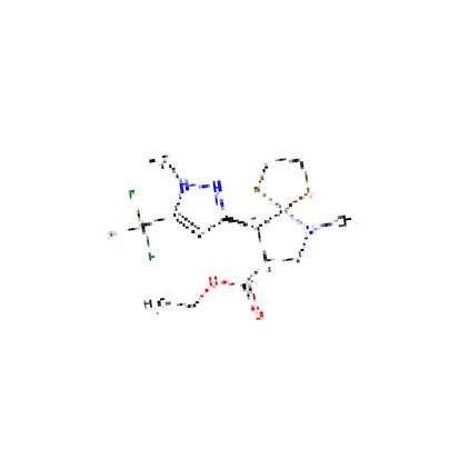 CCOC(=O)[C@H]1CN(C)C2(SCCS2)[C@@H]1c1cc(C(F)(F)F)n(C)n1